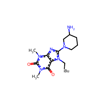 CCC(C)Cn1c(N2CCCC(N)C2)nc2c1c(=O)n(C)c(=O)n2C